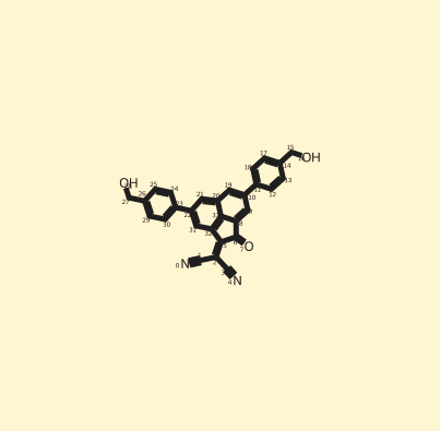 N#CC(C#N)=c1c(=O)c2cc(-c3ccc(CO)cc3)cc3cc(-c4ccc(CO)cc4)cc1c32